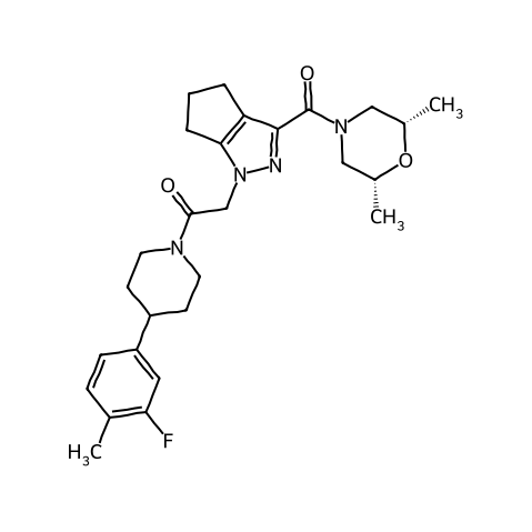 Cc1ccc(C2CCN(C(=O)Cn3nc(C(=O)N4C[C@@H](C)O[C@@H](C)C4)c4c3CCC4)CC2)cc1F